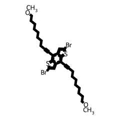 COCCCCCCCCC#Cc1c2cc(Br)sc2c(C#CCCCCCCCCOC)c2cc(Br)sc12